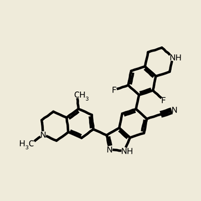 Cc1cc(-c2n[nH]c3cc(C#N)c(-c4c(F)cc5c(c4F)CNCC5)cc23)cc2c1CCN(C)C2